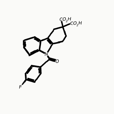 O=C(c1ccc(F)cc1)n1c2c(c3ccccc31)CC(C(=O)O)(C(=O)O)CC2